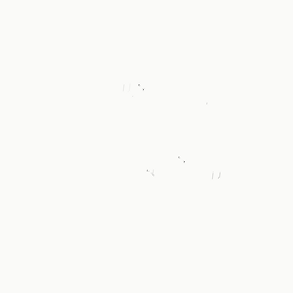 Cc1c(N)c(-c2ccccc2)nn1C